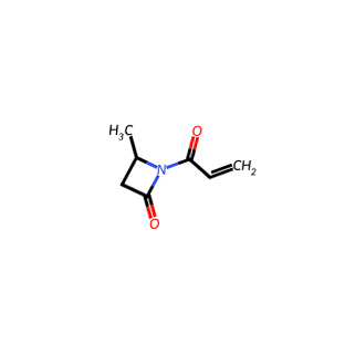 C=CC(=O)N1C(=O)CC1C